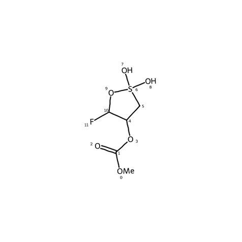 COC(=O)OC1CS(O)(O)OC1F